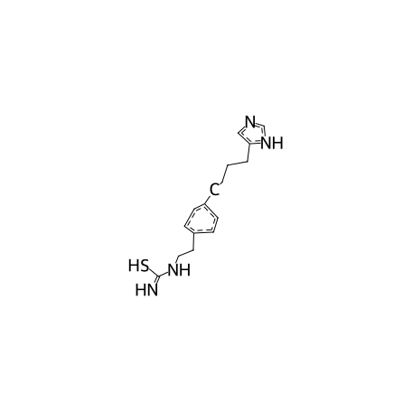 N=C(S)NCCc1ccc(CCCCc2cnc[nH]2)cc1